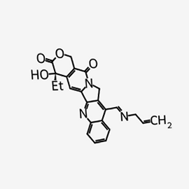 C=CCN=Cc1c2c(nc3ccccc13)-c1cc3c(c(=O)n1C2)COC(=O)[C@]3(O)CC